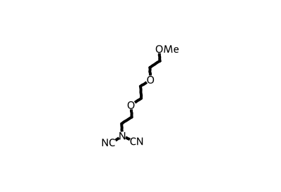 COCCOCCOCCN(C#N)C#N